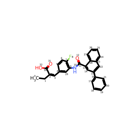 CCC(=Cc1ccc(F)c(NC(=O)c2cc(-c3ccccc3)cc3ccccc23)c1)C(=O)O